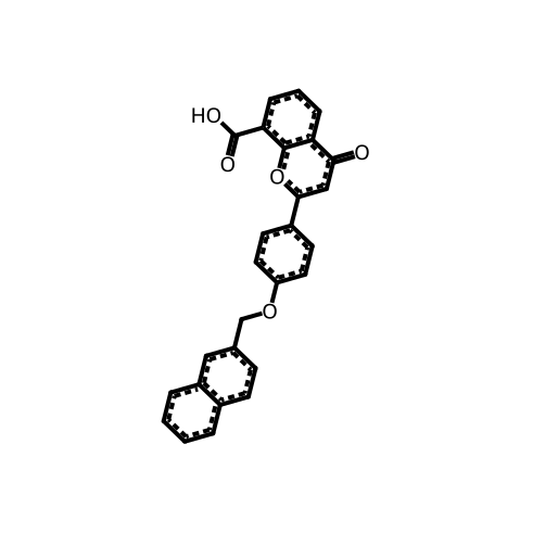 O=C(O)c1cccc2c(=O)cc(-c3ccc(OCc4ccc5ccccc5c4)cc3)oc12